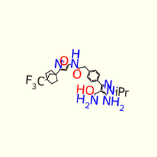 CC(C)n1nc(-c2ccc(CC(=O)Nc3cc(C45CCC(C(F)(F)F)(CC4)C5)no3)cc2)c(C(N)O)c1N